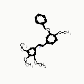 COc1ccc(/C=C/c2cc(OC)c(OC)c(OC)c2)cc1OCc1ccccc1